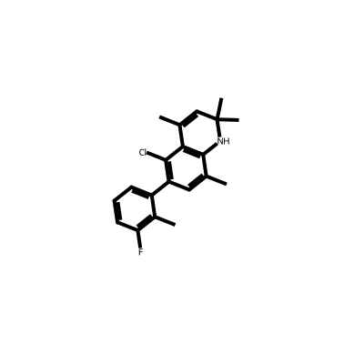 CC1=CC(C)(C)Nc2c(C)cc(-c3cccc(F)c3C)c(Cl)c21